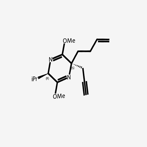 C#CC[C@]1(CCC=C)N=C(OC)[C@@H](C(C)C)N=C1OC